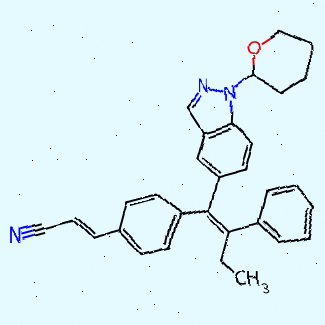 CCC(=C(c1ccc(C=CC#N)cc1)c1ccc2c(cnn2C2CCCCO2)c1)c1ccccc1